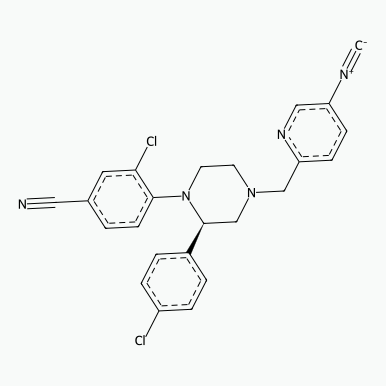 [C-]#[N+]c1ccc(CN2CCN(c3ccc(C#N)cc3Cl)[C@H](c3ccc(Cl)cc3)C2)nc1